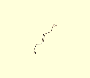 CCC(C)CC=CCC(C)C